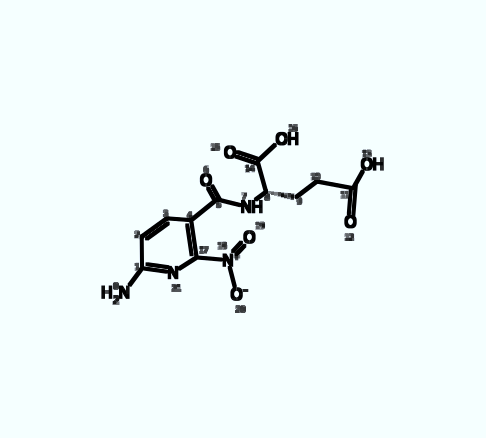 Nc1ccc(C(=O)N[C@@H](CCC(=O)O)C(=O)O)c([N+](=O)[O-])n1